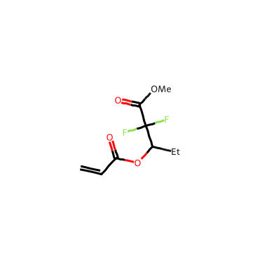 C=CC(=O)OC(CC)C(F)(F)C(=O)OC